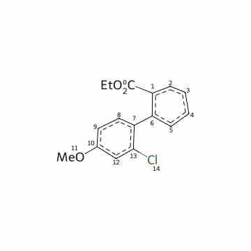 CCOC(=O)c1ccccc1-c1ccc(OC)cc1Cl